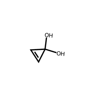 OC1(O)C=C1